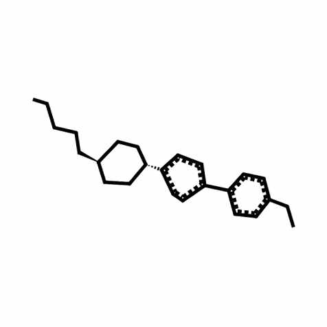 CCCCC[C@H]1CC[C@H](c2ccc(-c3ccc(CC)cc3)cc2)CC1